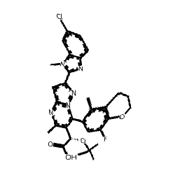 Cc1nc2cc(-c3nc4ccc(Cl)cc4n3C)nn2c(-c2cc(F)c3c(c2C)CCCO3)c1[C@H](OC(C)(C)C)C(=O)O